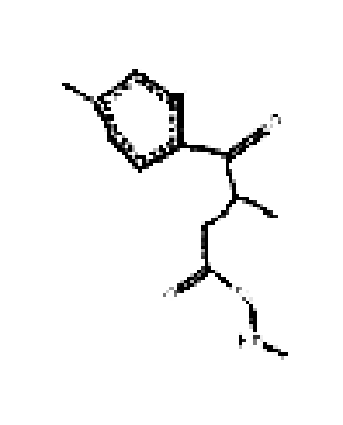 CPOC(=O)CC(C)C(=O)c1ccc(C)cc1